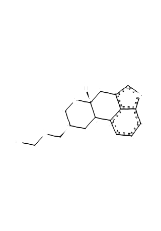 CC(=O)CSC[C@H]1CN[C@@H]2Cc3c[nH]c4cccc(c34)C2C1